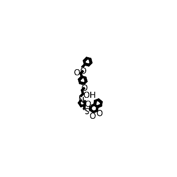 O=C1C(=O)c2ccccc2C2=C1SCC1(CCN(C[C@H](O)COc3ccc(C(=O)OCc4ccccc4)cc3)C1)O2